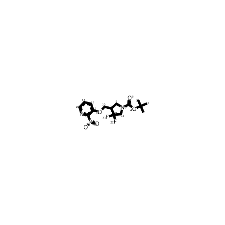 CC(C)(C)OC(=O)N1CC(COc2cccnc2[N+](=O)[O-])C(F)(F)C1